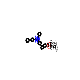 CC1(C)OB(c2ccc3c(-c4ccc(-c5nc(-c6ccccc6)nc(-c6ccc(-c7ccccc7)cc6)n5)cc4)cccc3c2)OC1(C)C